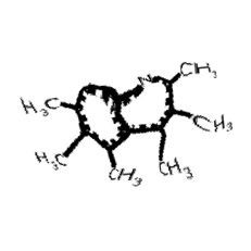 Cc1[c]c2nc(C)c(C)c(C)c2c(C)c1C